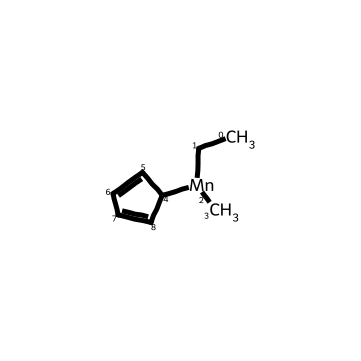 C[CH2][Mn]([CH3])[CH]1C=CC=C1